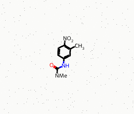 CNC(=O)Nc1ccc([N+](=O)[O-])c(C)c1